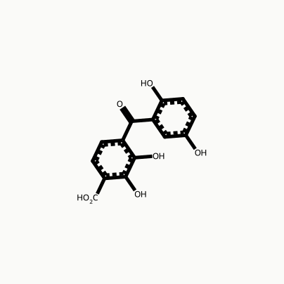 O=C(O)c1ccc(C(=O)c2cc(O)ccc2O)c(O)c1O